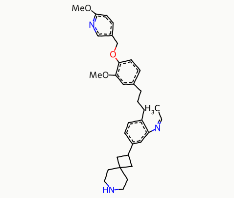 C/C=N\c1cc(C2CC3(CCNCC3)C2)ccc1CCCc1ccc(OCc2ccc(OC)nc2)c(OC)c1